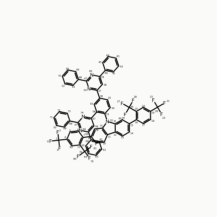 FC(F)(F)c1ccc(-c2ccc3c4ccc(-c5ccc(C(F)(F)F)cc5C(F)(F)F)cc4n(-c4ccc(-c5cc(-c6ccccc6)nc(-c6ccccc6)n5)cc4-c4cc(-c5ccccc5)nc(-c5ccccc5)n4)c3c2)c(C(F)(F)F)c1